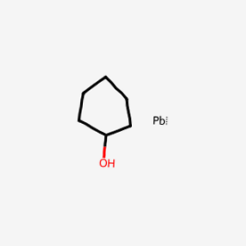 OC1CCCCC1.[Pb]